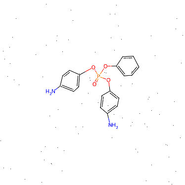 Nc1ccc(OP(=O)(Oc2ccccc2)Oc2ccc(N)cc2)cc1